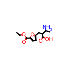 CCOC(=O)c1ccc(CC(C(=O)O)C(C)N)o1